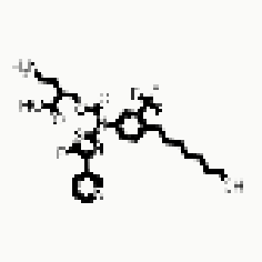 CCCCCCCCc1ccc(N(C(=O)OCC(CCN)C(=O)O)c2nc(-c3cccnc3)c(F)s2)cc1C(F)(F)F